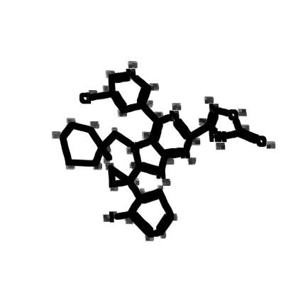 CC1(Cn2c(C3(c4ccccc4F)CC3)nc3nc(-c4noc(=O)[nH]4)nc(-c4cncc(Cl)c4)c32)CCCCC1